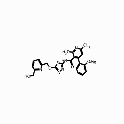 COc1ccccc1-c1cc(C)nc(C)c1C(=O)Nc1nnc(OCc2cccc(CO)n2)s1